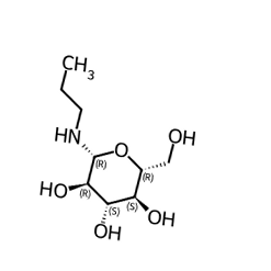 CCCN[C@@H]1O[C@H](CO)[C@@H](O)[C@H](O)[C@H]1O